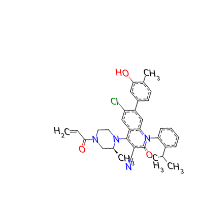 C=CC(=O)N1CCN(c2c(C#N)c(=O)n(-c3ccccc3C(C)C)c3cc(-c4ccc(C)c(O)c4)c(Cl)cc23)[C@@H](C)C1